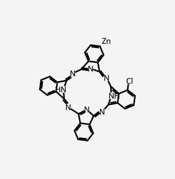 Clc1cccc2c3nc4nc(nc5[nH]c(nc6nc(nc([nH]3)c12)-c1ccccc1-6)c1ccccc51)-c1ccccc1-4.[Zn]